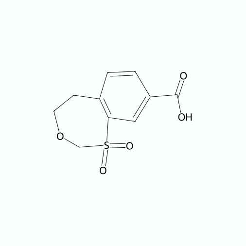 O=C(O)c1ccc2c(c1)S(=O)(=O)COCC2